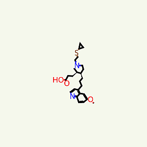 COc1ccc2nccc(CCC[C@@H]3CCN(CCSC4CC4)C[C@@H]3CCC(=O)O)c2c1